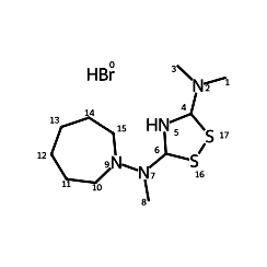 Br.CN(C)C1NC(N(C)N2CCCCCC2)SS1